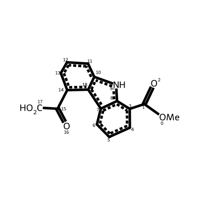 COC(=O)c1cccc2c1[nH]c1cccc(C(=O)C(=O)O)c12